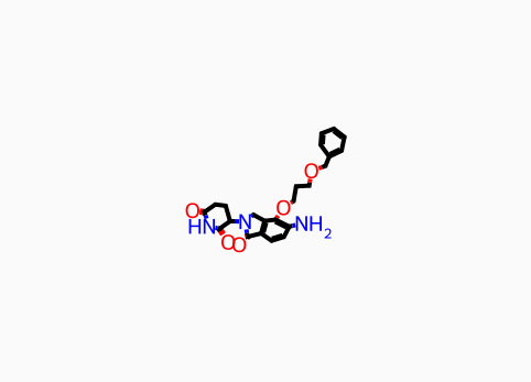 Nc1ccc2c(c1OCCCOCc1ccccc1)CN(C1CCC(=O)NC1=O)C2=O